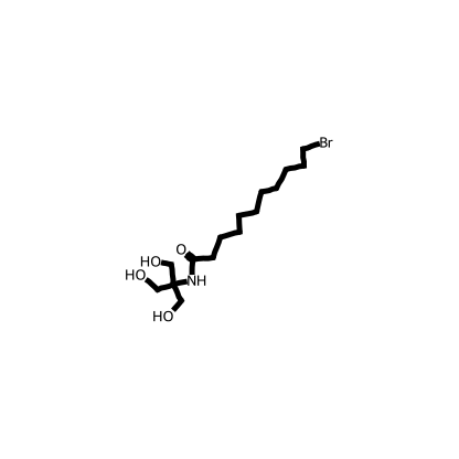 O=C(CCCCCCCCCCBr)NC(CO)(CO)CO